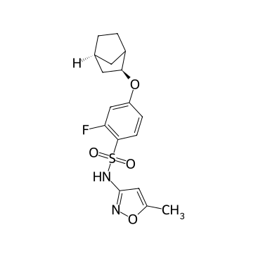 Cc1cc(NS(=O)(=O)c2ccc(O[C@H]3C[C@H]4CCC3C4)cc2F)no1